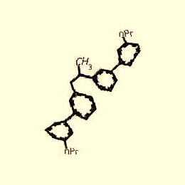 CCCc1cccc(-c2cccc(CC(C)c3cccc(-c4cccc(CCC)c4)c3)c2)c1